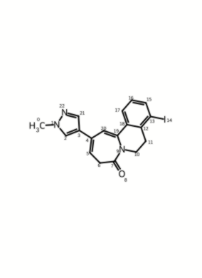 Cn1cc(C2=CCC(=O)N3CCc4c(I)cccc4C3=C2)cn1